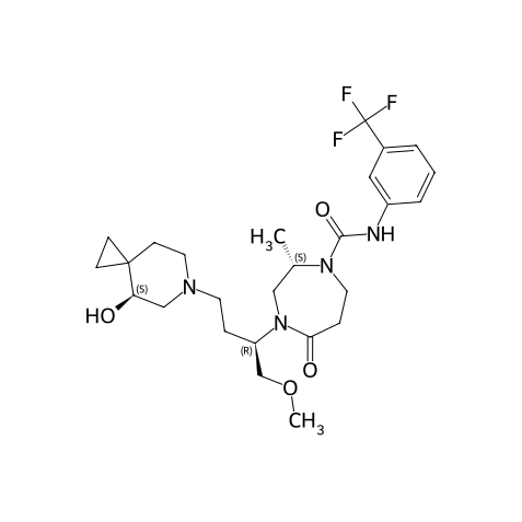 COC[C@@H](CCN1CCC2(CC2)[C@H](O)C1)N1C[C@H](C)N(C(=O)Nc2cccc(C(F)(F)F)c2)CCC1=O